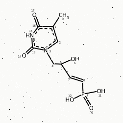 Cc1cn(CC(O)/C=C/P(=O)(O)O)c(=O)[nH]c1=O